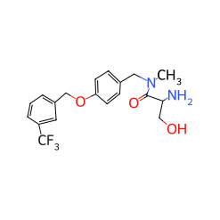 CN(Cc1ccc(OCc2cccc(C(F)(F)F)c2)cc1)C(=O)C(N)CO